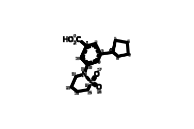 O=C(O)c1cc(C2CCCC2)cc(N2CCCCS2(=O)=O)c1